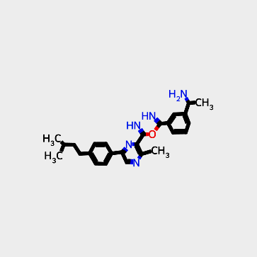 Cc1ncc(-c2ccc(CCC(C)C)cc2)nc1C(=N)OC(=N)c1cccc(C(C)N)c1